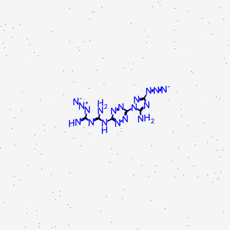 [N-]=[N+]=NC(=N)/N=C(\N)Nc1nnc(-n2nc(N=[N+]=[N-])nc2N)nn1